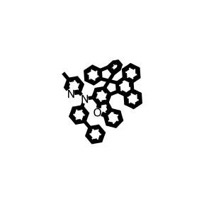 Cc1ccc(N(c2cccc(-c3ccccc3)c2)c2cc3c(c4c2oc2ccccc24)-c2c(c4ccccc4c4ccccc24)C32c3ccccc3-c3ccccc32)nc1